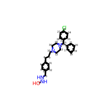 ONNCc1ccc(CCCN2CCN([C@H](c3ccccc3)c3ccc(Cl)cc3)CC2)cc1